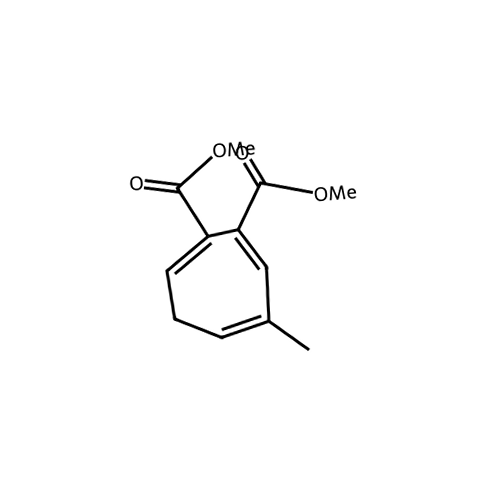 COC(=O)C1=CCC=C(C)C=C1C(=O)OC